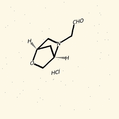 Cl.O=CCN1C[C@H]2C[C@@H]1CO2